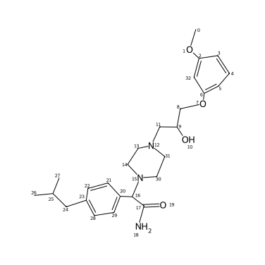 COc1cccc(OCC(O)CN2CCN(C(C(N)=O)c3ccc(CC(C)C)cc3)CC2)c1